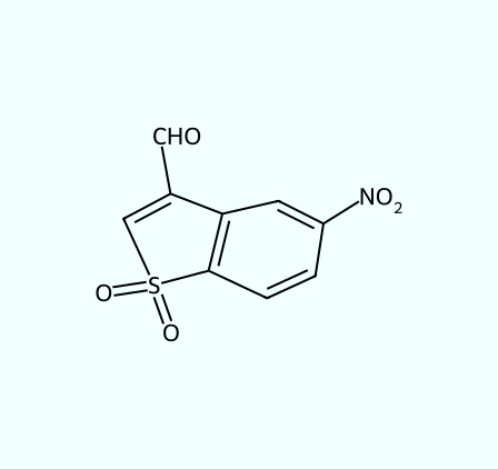 O=CC1=CS(=O)(=O)c2ccc([N+](=O)[O-])cc21